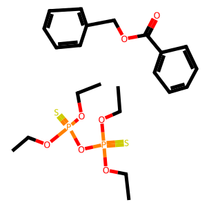 CCOP(=S)(OCC)OP(=S)(OCC)OCC.O=C(OCc1ccccc1)c1ccccc1